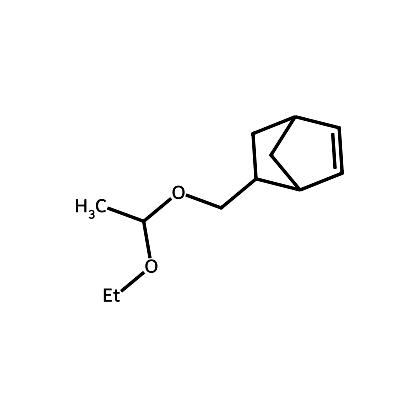 CCOC(C)OCC1CC2C=CC1C2